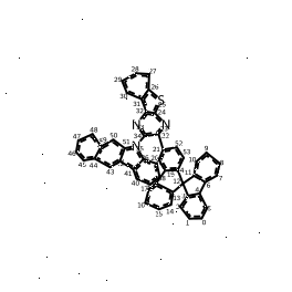 c1ccc2c(c1)-c1ccccc1C21c2ccccc2-c2cc(-c3nc4sc5ccccc5c4nc3-n3c4ccccc4c4cc5ccccc5cc43)ccc21